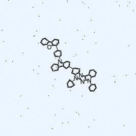 c1ccc(-n2c3ccccc3c3c2nc2n(-c4ccccc4)c4cc(-c5ccc6c(c5)c5ccccc5n6-c5ccc(-c6cccc7c6oc6ccccc67)cc5)ccc4n32)cc1